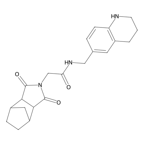 O=C(CN1C(=O)C2C3CCC(C3)C2C1=O)NCc1ccc2c(c1)CCCN2